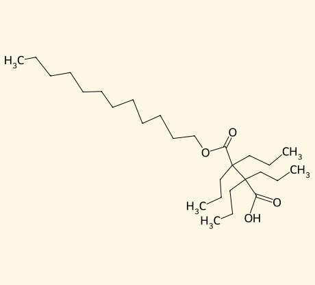 CCCCCCCCCCCCOC(=O)C(CCC)(CCC)C(CCC)(CCC)C(=O)O